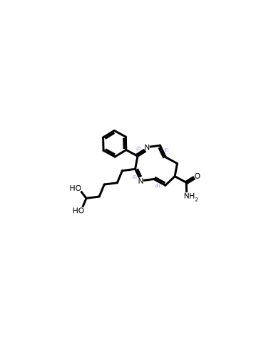 NC(=O)C1/C=C/N=C(CCCCC(O)O)\C(c2ccccc2)=N/C=C/C1